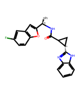 CCC[C@@H](NC(=O)C1C[C@@H]1c1nc2ccccc2[nH]1)c1cc2cc(F)ccc2o1